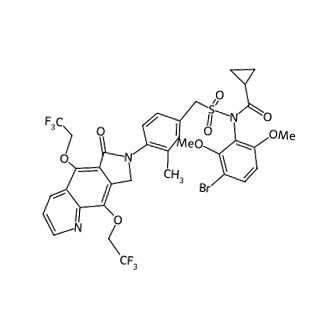 COc1ccc(Br)c(OC)c1N(C(=O)C1CC1)S(=O)(=O)Cc1ccc(N2Cc3c(c(OCC(F)(F)F)c4cccnc4c3OCC(F)(F)F)C2=O)c(C)c1